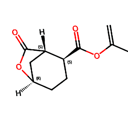 C=C(C)OC(=O)[C@H]1CC[C@@H]2C[C@@H]1C(=O)O2